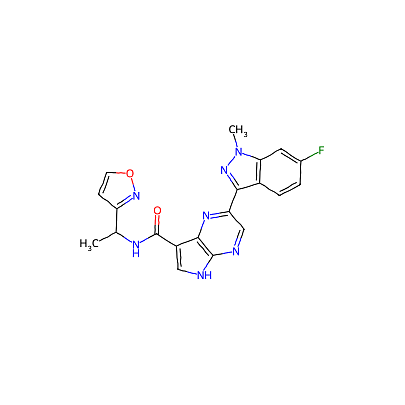 CC(NC(=O)c1c[nH]c2ncc(-c3nn(C)c4cc(F)ccc34)nc12)c1ccon1